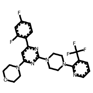 Fc1ccc(-c2cc(N3CCOCC3)nc(N3CCN(c4ncccc4C(F)(F)F)CC3)n2)c(F)c1